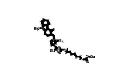 Cc1n(CC2CCc3c(c4ccccc4n3C)C2=O)cc[n+]1C(C)OC(=O)NCCCCCCNC(=O)OC(C)(C)C.[Cl-]